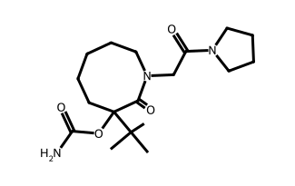 CC(C)(C)C1(OC(N)=O)CCCCCN(CC(=O)N2CCCC2)C1=O